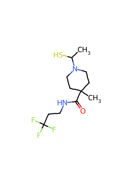 CC(S)N1CCC(C)(C(=O)NCCC(F)(F)F)CC1